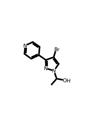 CC(O)n1cc(Br)c(-c2ccncc2)n1